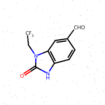 O=Cc1ccc2[nH]c(=O)n(CC(F)(F)F)c2c1